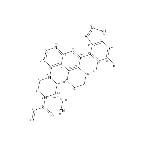 C=CC(=O)N1CCN(c2ncnc3cc(-c4c(C)c(C)cc5[nH]ncc45)c4c(c23)OCCC4)C[C@@H]1CC#N